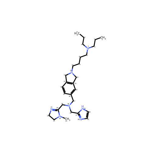 CCCN(CCC)CCCCN1Cc2ccc(CN(CC3=NCCN3C)Cc3ncc[nH]3)cc2C1